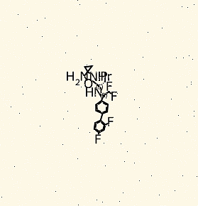 CC(C)C[C@H](N[C@@H](c1ccc(-c2ccc(F)cc2F)cc1)C(F)F)C(=O)NC1(N)CC1